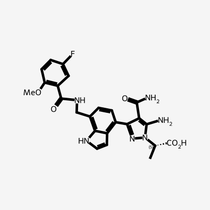 COc1ccc(F)cc1C(=O)NCc1ccc(-c2nn([C@@H](C)C(=O)O)c(N)c2C(N)=O)c2cc[nH]c12